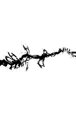 CC(=O)NCCOCCOCC(=O)NCCOCCOCC(=O)NCCCC[C@H](NCC(=O)CCc1cnc[nH]1)C(N)=O